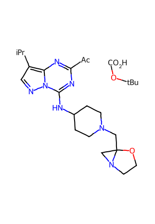 CC(=O)c1nc(NC2CCN(CC34CN3CCO4)CC2)n2ncc(C(C)C)c2n1.CC(C)(C)OC(=O)O